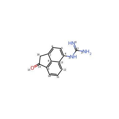 N=C(N)Nc1ccc2c3c(cccc13)C(=O)C2